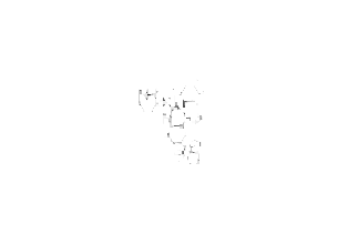 Cc1ccccc1-n1c(Nc2cccnc2)nc2ccc(S(C)(=O)=O)cc2c1=O